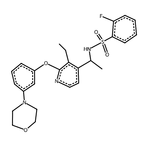 CCc1c(C(C)NS(=O)(=O)c2ccccc2F)ccnc1Oc1cccc(N2CCOCC2)c1